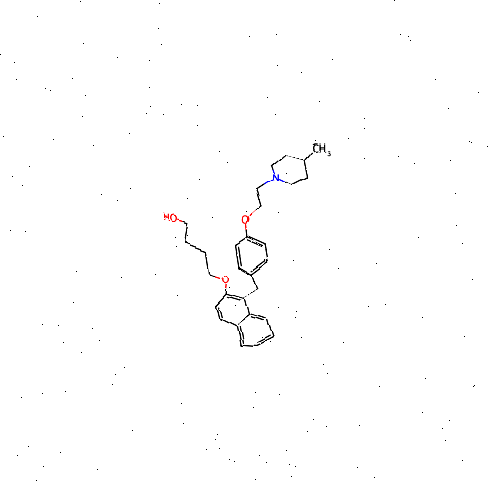 CC1CCN(CCOc2ccc(Cc3c(OCCCCO)ccc4ccccc34)cc2)CC1